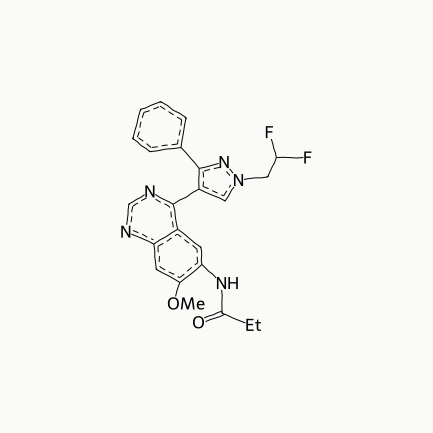 CCC(=O)Nc1cc2c(-c3cn(CC(F)F)nc3-c3ccccc3)ncnc2cc1OC